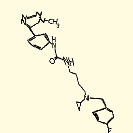 Cn1nnnc1-c1cccc(NC(=O)NCCCCN(Cc2ccc(F)cc2)C2CC2)c1